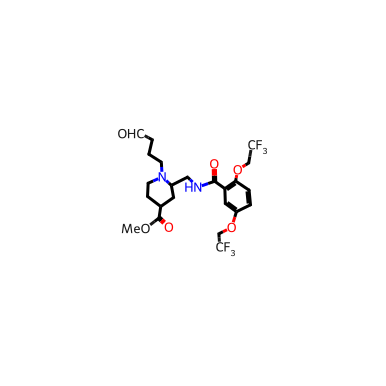 COC(=O)C1CCN(CCCC=O)C(CNC(=O)c2cc(OCC(F)(F)F)ccc2OCC(F)(F)F)C1